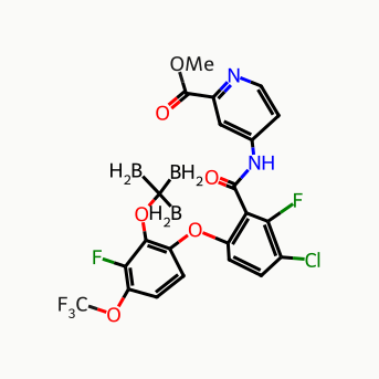 BC(B)(B)Oc1c(Oc2ccc(Cl)c(F)c2C(=O)Nc2ccnc(C(=O)OC)c2)ccc(OC(F)(F)F)c1F